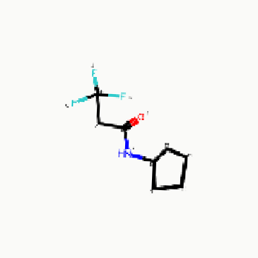 O=C(CC(F)(F)F)NC1CCCC1